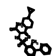 Cc1c(-c2ccccn2)cccc1S(=O)(=O)N[C@@H](C(N)=O)C(=O)N1CCN(C2CC2)CC1